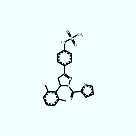 CS(=O)(=O)Nc1ccc(C2=NN(C(=O)c3ccco3)C(c3c(F)cccc3Cl)C2)cc1